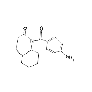 Nc1ccc(C(=O)N2C(=O)CCC3CCCCC32)cc1